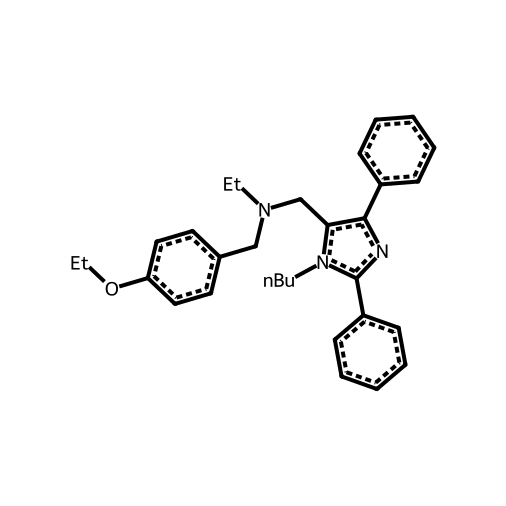 CCCCn1c(-c2ccccc2)nc(-c2ccccc2)c1CN(CC)Cc1ccc(OCC)cc1